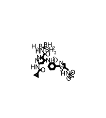 BC(B)(B)NC(=O)c1nnc(NC(=O)C2CC2)cc1Nc1cccc(-c2ncc(CNS(C)(=O)=O)s2)c1OC